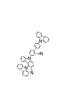 N#Cc1cc(-n2c3ccccc3c3c(-n4c5ccccc5c5ccccc54)c(C#N)ccc32)ccc1-c1ccc(-n2c3ccccc3c3ccccc32)cc1